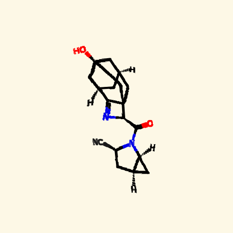 N#C[C@@H]1C[C@@H]2C[C@@H]2N1C(=O)[C@H]1N=C2[C@@H]3C[C@H]4C[C@@](O)(C3)C[C@]21C4